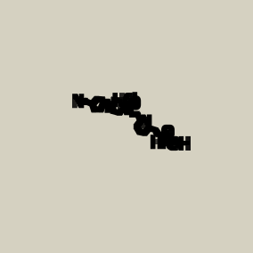 Cl.N#Cc1ccc(N2CCN(C(=O)/C=C/c3cccc(/C=C/C(=O)NO)n3)CC2)cc1